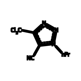 CCCn1nnc(C(Cl)(Cl)Cl)c1C#N